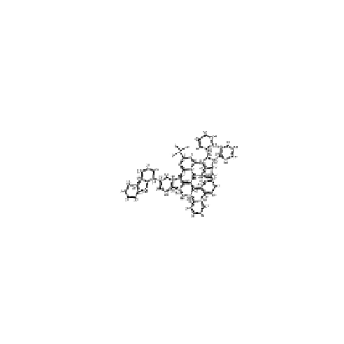 CC(C)(C)c1cc2c3c(c1)-n1c4cc(-c5cccc6c5sc5ccccc56)ccc4c4cc5c6ccccc6c6ccccc6c5c(c41)B3c1cccc3c(-c4ccccc4)c(-c4ccccc4)n-2c13